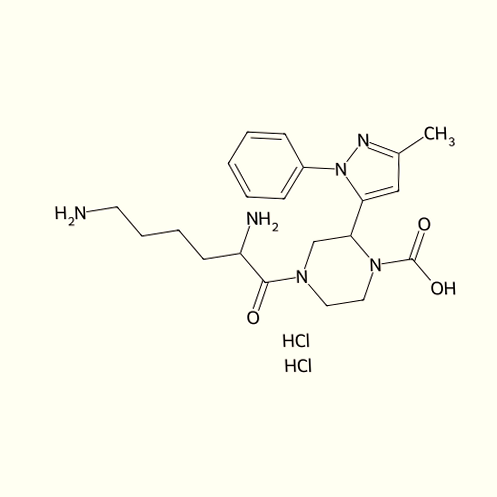 Cc1cc(C2CN(C(=O)C(N)CCCCN)CCN2C(=O)O)n(-c2ccccc2)n1.Cl.Cl